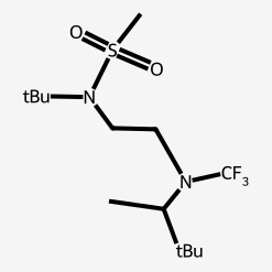 CC(N(CCN(C(C)(C)C)S(C)(=O)=O)C(F)(F)F)C(C)(C)C